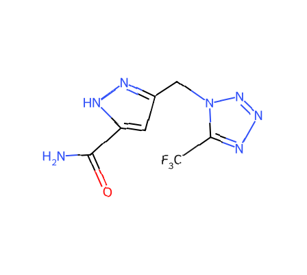 NC(=O)c1cc(Cn2nnnc2C(F)(F)F)n[nH]1